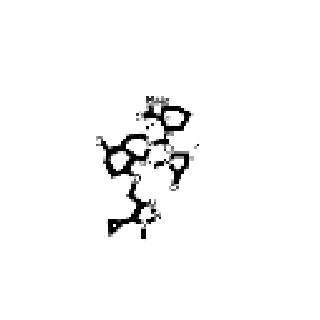 CNC(=O)[C@@]1(C)CCCC[C@H]1C(=O)N1CCc2c(Cl)ccc(OCc3nnn(C)c3C3CC3)c2[C@H]1CN1C[C@H](C)CC1=O